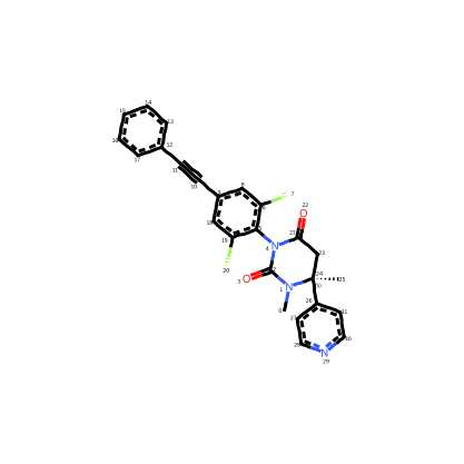 CN1C(=O)N(c2c(F)cc(C#Cc3ccccc3)cc2F)C(=O)C[C@@]1(C)c1ccncc1